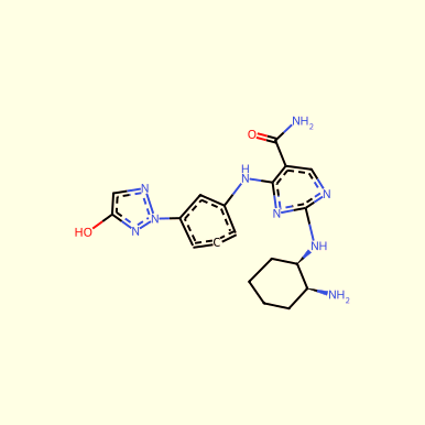 NC(=O)c1cnc(N[C@@H]2CCCC[C@@H]2N)nc1Nc1cccc(-n2ncc(O)n2)c1